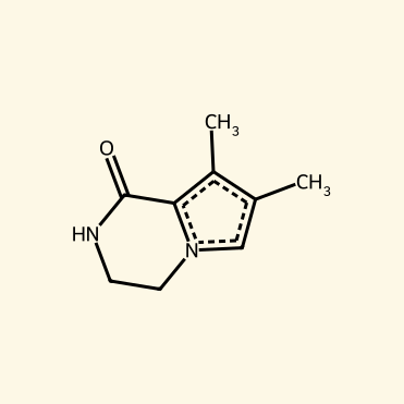 Cc1cn2c(c1C)C(=O)NCC2